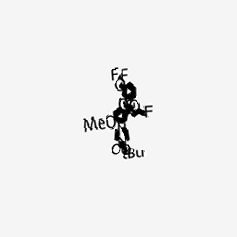 COc1ccc(N(CCCF)S(=O)(=O)c2cccc(OC(F)F)c2)cc1N1CCN(C(=O)OC(C)(C)C)CC1